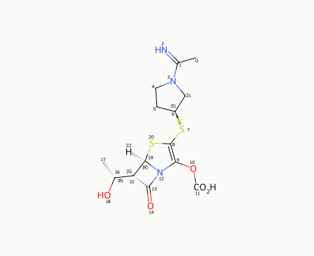 CC(=N)N1CC[C@H](SC2=C(OC(=O)O)N3C(=O)[C@H]([C@@H](C)O)[C@H]3S2)C1